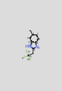 Cc1ccc2nc(CC(F)(F)F)[nH]c2c1